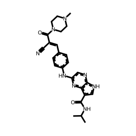 CC(C)NC(=O)c1c[nH]c2ncc(Nc3ccc(/C=C(\C#N)C(=O)N4CCN(C)CC4)cc3)nc12